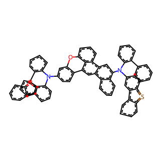 c1ccc(-c2ccccc2N(c2ccc3sc4ccccc4c3c2)c2cc3c4cccc5c4c(cc3c3ccccc23)-c2ccc(N(c3ccccc3-c3ccccc3)c3cccc4c3oc3ccccc34)cc2O5)cc1